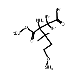 CC(C)C(=O)C(C(C)C)(C(C)C)C(N)(C(=O)OC(C)(C)C)C(C)(C)CCO[SiH3]